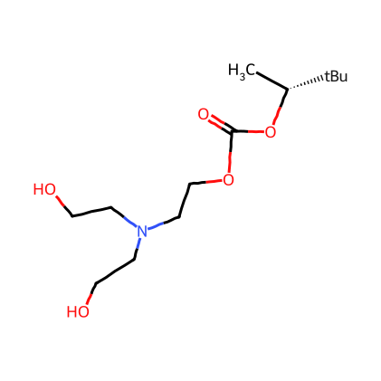 C[C@@H](OC(=O)OCCN(CCO)CCO)C(C)(C)C